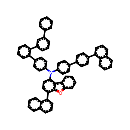 c1ccc(-c2cccc(-c3ccccc3-c3ccc(N(c4ccc(-c5ccc(-c6cccc7ccccc67)cc5)cc4)c4ccc(-c5cccc6ccccc56)c5oc6ccccc6c45)cc3)c2)cc1